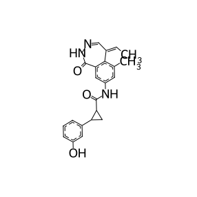 C/C=C1/C=NNC(=O)c2cc(NC(=O)C3CC3c3cccc(O)c3)cc(C)c21